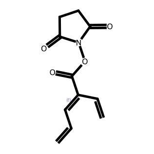 C=C/C=C(\C=C)C(=O)ON1C(=O)CCC1=O